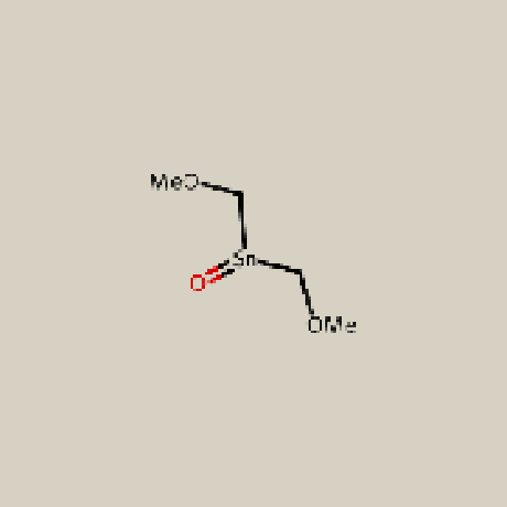 CO[CH2][Sn](=[O])[CH2]OC